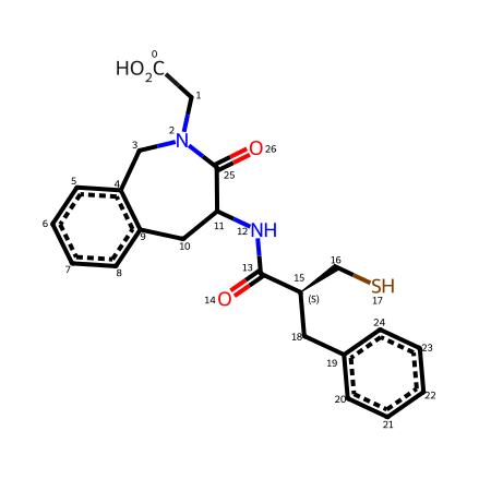 O=C(O)CN1Cc2ccccc2CC(NC(=O)[C@@H](CS)Cc2ccccc2)C1=O